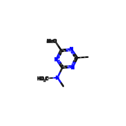 COc1nc(C)nc(N(C)C(=O)O)n1